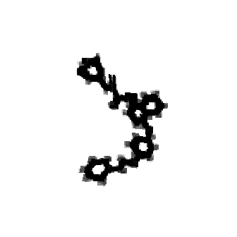 O=C(NCc1ccncc1)Nc1ccc(Oc2ccc(OCCN3CCCCC3)cc2)c2ccccc12